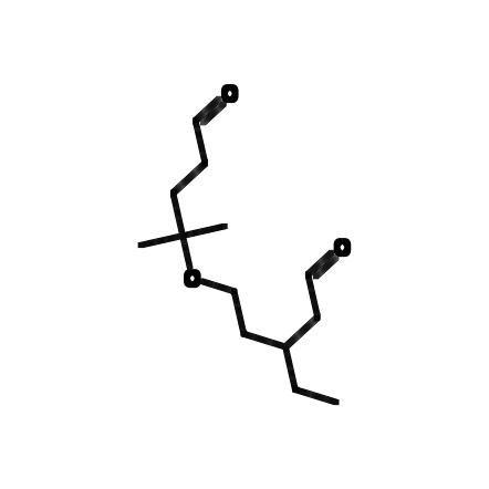 CCC(CC=O)CCOC(C)(C)CCC=O